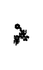 C=CN(c1nc(-c2cncc(C(F)(F)F)c2)nc(NCCc2ccccc2)c1C)C(C)C